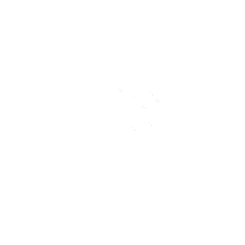 CC[C@H]1CN(CCC(F)(F)F)C[C@H]1c1nnc2cnc3c(ccn3S(=O)(=O)c3ccc(C)cc3)n12